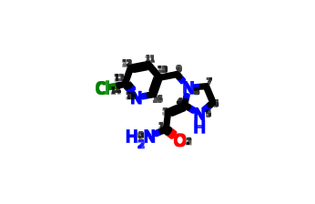 NC(=O)/C=C1\NCCN1Cc1ccc(Cl)nc1